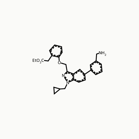 CCOC(=O)Cc1ccccc1OCc1nn(CC2CC2)c2ccc(-c3cccc(CN)c3)cc12